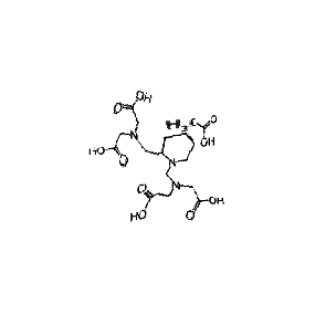 CC(=O)O.O=C(O)CN(CC(=O)O)CC1CCCCN1CN(CC(=O)O)CC(=O)O